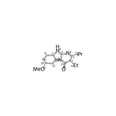 CCc1c(C(C)C)nc2[nH]c3ccc(OC)cc3n2c1=O